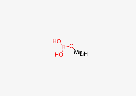 OB(O)[O][Mn].[LiH]